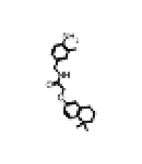 Cc1cc(CNC(=O)COc2ccc3c(c2)CCCC3(C)C)ccc1N